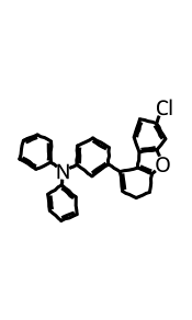 Clc1ccc2c3c(oc2c1)CCC=C3c1cccc(N(c2ccccc2)c2ccccc2)c1